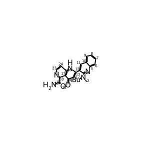 CCCCN(C)c1nc2ccccc2cc1-c1cc(=O)c2c(C(N)=O)nccc2[nH]1